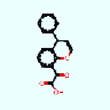 O=C(O)C(=O)c1cccc2c1OC=CC2c1ccccc1